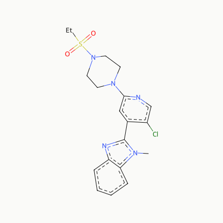 CCS(=O)(=O)N1CCN(c2cc(-c3nc4ccccc4n3C)c(Cl)cn2)CC1